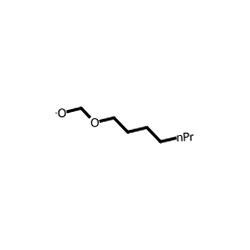 CCCCCCCOC[O]